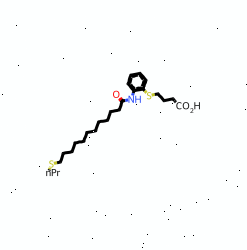 CCCSCCCCCCCCCCCC(=O)Nc1ccccc1SCCCC(=O)O